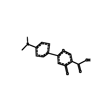 CN(C)c1ccc(-c2cc(=O)c(C(=O)O)co2)cc1